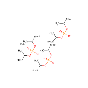 CCCCCCC(C)OP(=O)([O-])OC(C)CCCCCC.CCCCCCC(C)OP(=O)([O-])OC(C)CCCCCC.CCCCCCC(C)OP(=O)([O-])OC(C)CCCCCC.[Fe+3]